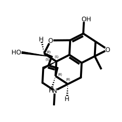 CN1CC[C@@]23C4=C5C[C@@H]1[C@@H]2C=C[C@H](O)[C@@H]3OC4=C(O)C1OC51C